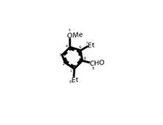 CCc1ccc(OC)c(CC)c1C=O